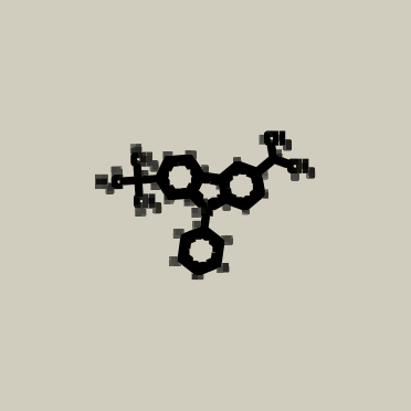 CC(C)c1ccc2c(c1)c1ccc(C(C)(C)C)cc1n2-c1ccccc1